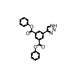 O=C(Oc1ccccc1)c1cc(C(=O)Oc2ccccc2)cc(-c2c[nH]nn2)c1